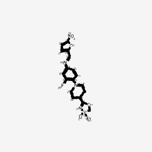 CC[N+]1([O-])COC(C2CCN(c3ccc(N=Cc4ccc([N+](=O)[O-])o4)cc3F)CC2)=N1